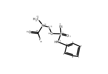 CCP(=O)(Nc1ccccc1)OSN(C)C(=O)F